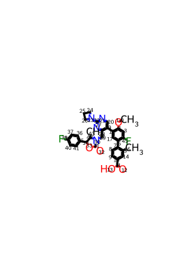 COc1cc(F)c(-c2ccc(C(=O)O)cc2C)cc1-c1cnc(N2CCC2)nc1CN1C(=O)OC(c2ccc(F)cc2)C1C